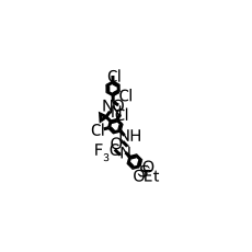 CCS(=O)(=O)c1ccc(N(CC(=O)Nc2cc(Cl)c(C3(c4noc(-c5ccc(Cl)cc5Cl)n4)CC3)c(Cl)c2)CC(F)(F)F)cc1